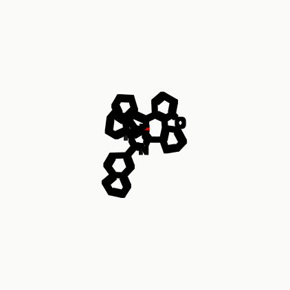 c1ccc(-c2nc(-c3ccc4ccccc4c3)nc(-c3cccc4oc5cccc(-c6ccc7ccccc7c6)c5c34)n2)cc1